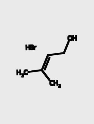 Br.CC(C)=CCO